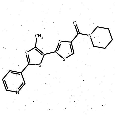 Cc1nc(-c2cccnc2)sc1-c1nc(C(=O)N2CCCCC2)cs1